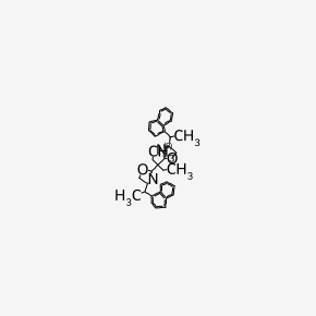 CCC(CC)(C1=NC(C(C)c2cccc3ccccc23)CO1)C1=N[C@@H](C(C)c2cccc3ccccc23)CO1